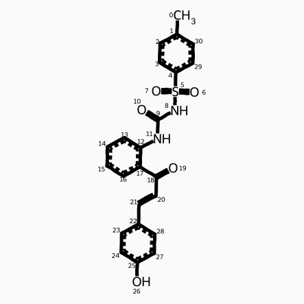 Cc1ccc(S(=O)(=O)NC(=O)Nc2ccccc2C(=O)/C=C/c2ccc(O)cc2)cc1